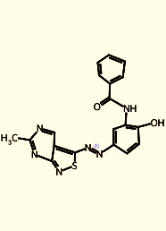 Cc1ncc2c(/N=N/c3ccc(O)c(NC(=O)c4ccccc4)c3)snc2n1